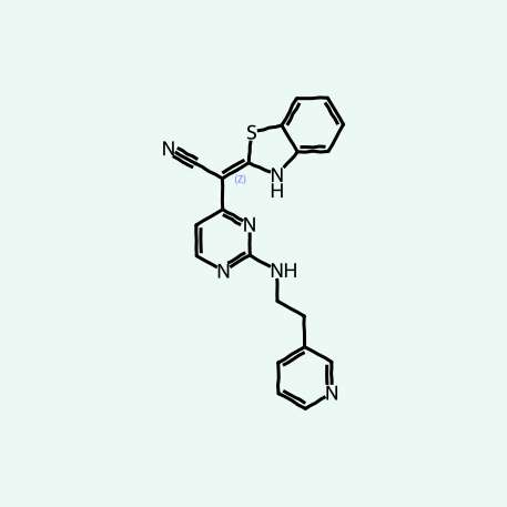 N#C/C(=C1/Nc2ccccc2S1)c1ccnc(NCCc2cccnc2)n1